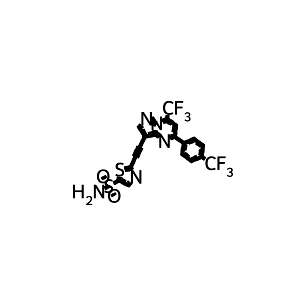 NS(=O)(=O)c1cnc(C#Cc2cnn3c(C(F)(F)F)cc(-c4ccc(C(F)(F)F)cc4)nc23)s1